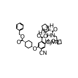 COc1cc(C#N)c(O[C@H]2CC[C@H](C(=O)OCc3ccccc3)CC2)cc1C(=O)O[C@@H]1[C@H]2CC[C@H](C2)[C@@H]1C(=O)NCC1(C)CCC1